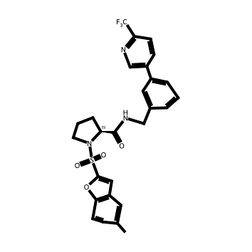 Cc1ccc2oc(S(=O)(=O)N3CCC[C@H]3C(=O)NCc3cccc(-c4ccc(C(F)(F)F)nc4)c3)cc2c1